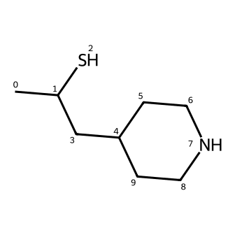 CC(S)CC1CCNCC1